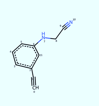 C#Cc1cccc(NCC#N)c1